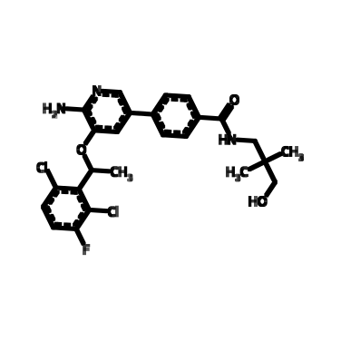 CC(Oc1cc(-c2ccc(C(=O)NCC(C)(C)CO)cc2)cnc1N)c1c(Cl)ccc(F)c1Cl